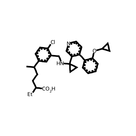 CCC(CCC(C)c1ccc(Cl)c(CNC2(c3cnccc3-c3ccccc3OC3CC3)CC2)c1)C(=O)O